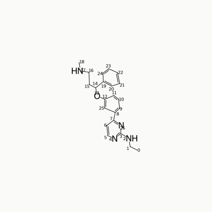 CCNc1nccc(-c2cccc(OC(CCNC)c3ccccc3)c2)n1